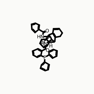 O=C(N[C@@H]1C2C3=C(CCC=C3)C(C3C=CCCC32)[C@H]1NC(=O)c1ccccc1P(c1ccccc1)c1ccccc1)c1ccccc1